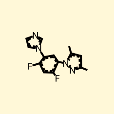 Cc1cc(C)n(-c2cc(-n3ccnc3)c(F)cc2F)n1